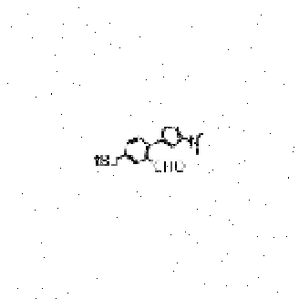 CN(C)C1=CCC(c2ccc(C(C)(C)C)cc2C=O)=C1